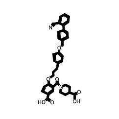 N#Cc1ccccc1-c1ccc(COc2ccc(CCCOc3ccc(C(=O)O)cc3C(=O)N3CCC(C(=O)O)CC3)cc2)cc1